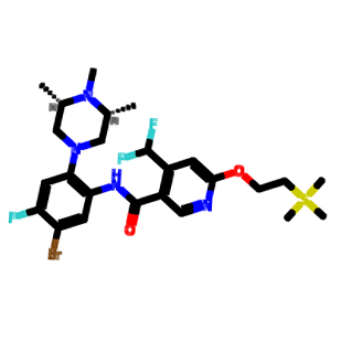 C[C@@H]1CN(c2cc(F)c(Br)cc2NC(=O)c2cnc(OCCS(C)(C)C)cc2C(F)F)C[C@H](C)N1C